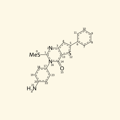 CSc1nc2cc(-c3ccccc3)sc2c(=O)n1-c1ccc(N)cc1